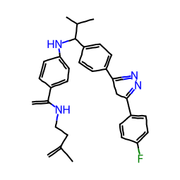 C=C(C)CCNC(=C)c1ccc(NC(c2ccc(C3=NN=C(c4ccc(F)cc4)C3)cc2)C(C)C)cc1